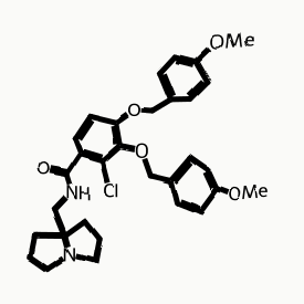 COc1ccc(COc2ccc(C(=O)NCC34CCCN3CCC4)c(Cl)c2OCc2ccc(OC)cc2)cc1